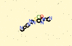 O=c1c2c(Cl)c(Sc3cnc(N4CCC5(CC4)Cc4cccnc4C5)cn3)ccc2ncn1Cc1cccnc1